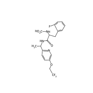 CC(NC(=O)C(Cc1ccccc1F)NC(=O)O)c1ccc(OCC(F)(F)F)cn1